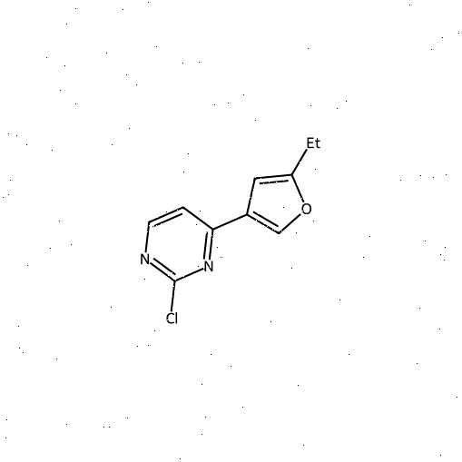 CCc1cc(-c2ccnc(Cl)n2)co1